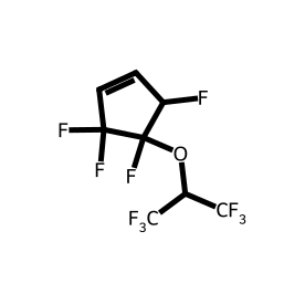 FC1C=CC(F)(F)C1(F)OC(C(F)(F)F)C(F)(F)F